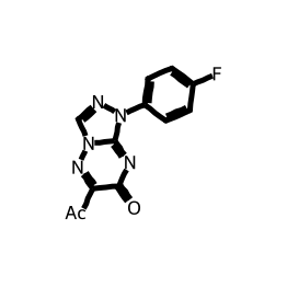 CC(=O)c1nn2cnn(-c3ccc(F)cc3)c2nc1=O